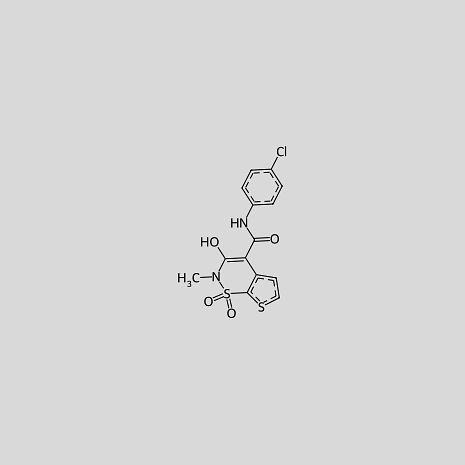 CN1C(O)=C(C(=O)Nc2ccc(Cl)cc2)c2ccsc2S1(=O)=O